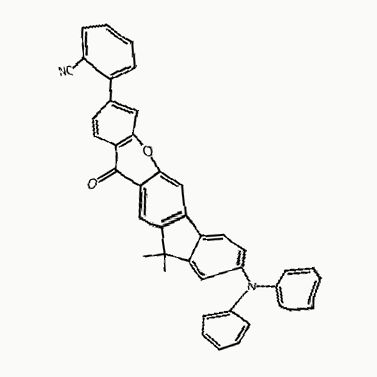 CC1(C)c2cc(N(c3ccccc3)c3ccccc3)ccc2-c2cc3oc4cc(-c5ccccc5C#N)ccc4c(=O)c3cc21